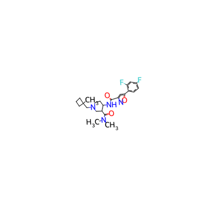 CN(C)C(=O)C1CN(CC2(C)CCC2)CCC1NC(=O)c1cc(-c2ccc(F)cc2F)on1